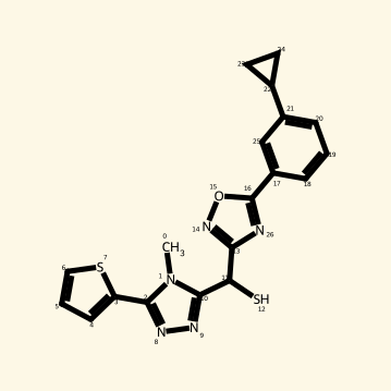 Cn1c(-c2cccs2)nnc1C(S)c1noc(-c2cccc(C3CC3)c2)n1